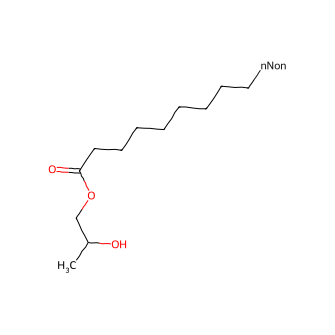 CCCCCCCCCCCCCCCCCC(=O)OCC(C)O